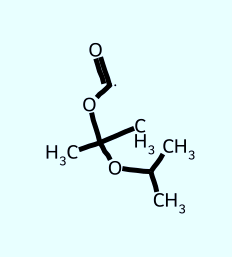 CC(C)OC(C)(C)O[C]=O